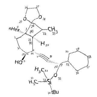 CCCCCC[C@@]12CC[C@H](O)[C@@H](C#C[C@@H](O[Si](C)(C)C(C)(C)C)C3CCCCC3)[C@@H]1C(C)C21OCCO1